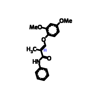 COc1ccc(O/C=C(\C)C(=O)Nc2ccccc2)c(OC)c1